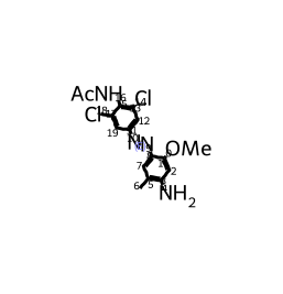 COc1cc(N)c(C)cc1/N=N/c1cc(Cl)c(NC(C)=O)c(Cl)c1